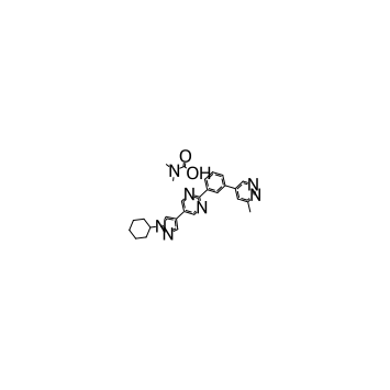 CN(C)C(=O)O.Cc1cc(-c2cccc(-c3ncc(-c4cnn(C5CCCCC5)c4)cn3)c2)cnn1